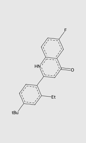 CCc1cc(C(C)(C)C)ccc1-c1cc(=O)c2cc(F)ccc2[nH]1